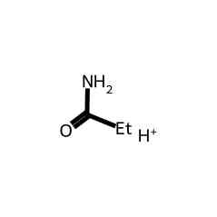 CCC(N)=O.[H+]